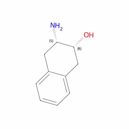 N[C@H]1Cc2ccccc2C[C@H]1O